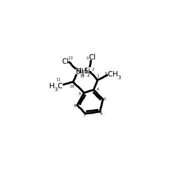 CC([SiH2]Cl)c1ccccc1C(C)[SiH2]Cl